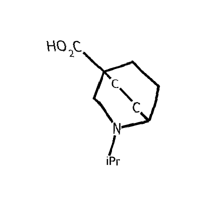 CC(C)N1CC2(C(=O)O)CCC1CC2